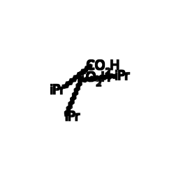 CC(C)CCCCCCCCCCCCCCC(=O)O.CC(C)CCCCCCCCCCCCCCCC(CCCCCCCCCCCCCC(C)C)C(=O)O